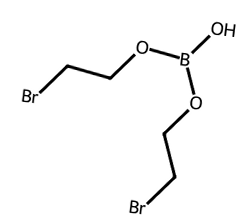 OB(OCCBr)OCCBr